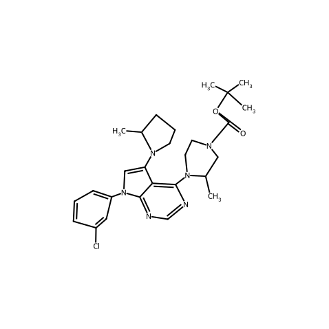 CC1CCCN1c1cn(-c2cccc(Cl)c2)c2ncnc(N3CCN(C(=O)OC(C)(C)C)CC3C)c12